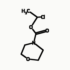 CC(Cl)OC(=O)N1CCOCC1